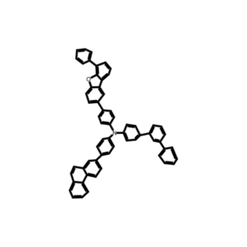 c1ccc(-c2cccc(-c3ccc(N(c4ccc(-c5ccc6c(ccc7ccccc76)c5)cc4)c4ccc(-c5ccc6oc7c(-c8ccccc8)cccc7c6c5)cc4)cc3)c2)cc1